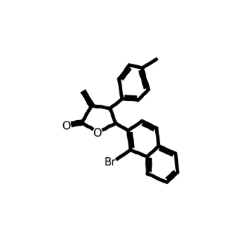 C=C1C(=O)OC(c2ccc3ccccc3c2Br)C1c1ccc(C)cc1